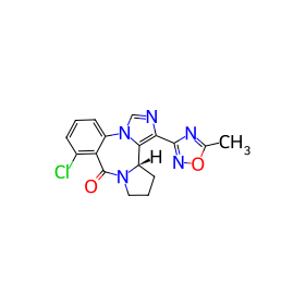 Cc1nc(-c2ncn3c2[C@@H]2CCCN2C(=O)c2c(Cl)cccc2-3)no1